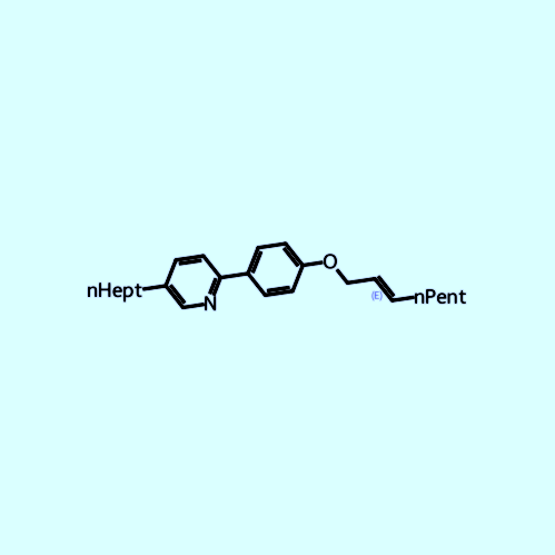 CCCCC/C=C/COc1ccc(-c2ccc(CCCCCCC)cn2)cc1